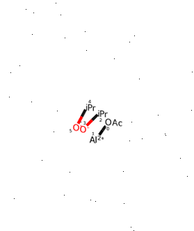 CC(=O)[O][Al+2].CC(C)[O-].CC(C)[O-]